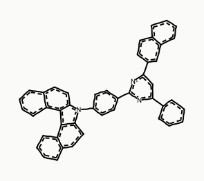 c1ccc(-c2cc(-c3ccc4ccccc4c3)nc(-c3ccc(-n4c5ccc6ccccc6c5c5c6ccccc6ccc54)cc3)n2)cc1